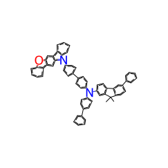 CC1(C)c2ccc(-c3ccccc3)cc2-c2ccc(N(c3ccc(-c4ccccc4)cc3)c3ccc(-c4ccc(-n5c6ccccc6c6cc7oc8ccccc8c7cc65)cc4)cc3)cc21